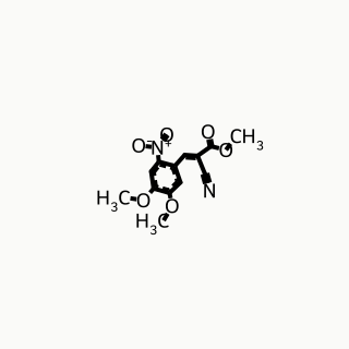 COC(=O)/C(C#N)=C/c1cc(OC)c(OC)cc1[N+](=O)[O-]